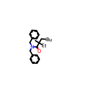 CCC(C)CC(C)(CC)C(=O)N(Cc1ccccc1)Cc1ccccc1